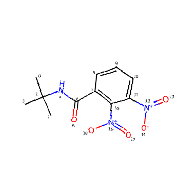 CC(C)(C)NC(=O)c1cccc([N+](=O)[O-])c1[N+](=O)[O-]